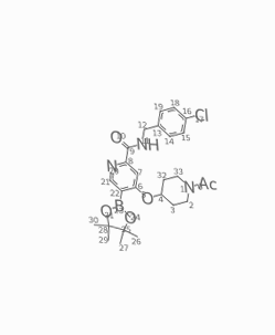 CC(=O)N1CCC(Oc2cc(C(=O)NCc3ccc(Cl)cc3)ncc2B2OC(C)(C)C(C)(C)O2)CC1